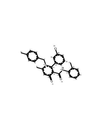 Cc1ccc(Cn2c(C)cc(=O)c(C(=O)Nc3ccccc3C)c2-c2cccc(Cl)c2)cc1